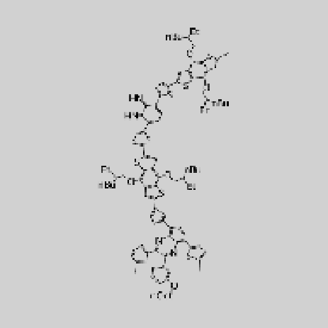 CCCCCCCCOc1cccc(-c2nc3c(-c4ccc(C)s4)ccc(-c4ccc(-c5cc6c(OCC(CC)CCCC)c7sc(-c8ccc(C9=CC=C(c%10ccc(-c%11cc%12c(OCC(CC)CCCC)c%13sc(C)cc%13c(OCC(CC)CCCC)c%12s%11)s%10)C(=N)C9=N)s8)cc7c(OCC(CC)CCCC)c6s5)s4)c3nc2-c2cccc(C)c2)c1